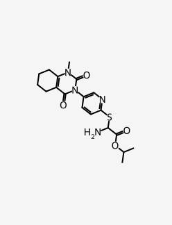 CC(C)OC(=O)C(N)Sc1ccc(-n2c(=O)c3c(n(C)c2=O)CCCC3)cn1